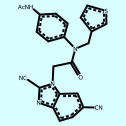 CC(=O)Nc1ccc(N(Cc2ccsc2)C(=O)Cn2c(C#N)nc3ccc(C#N)cc32)cc1